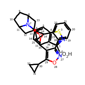 O=C(O)c1nsc2cc(N3C4CCC3CC(OCc3c(-c5ccccc5C5CC5)noc3C3CC3)C4)ccc12